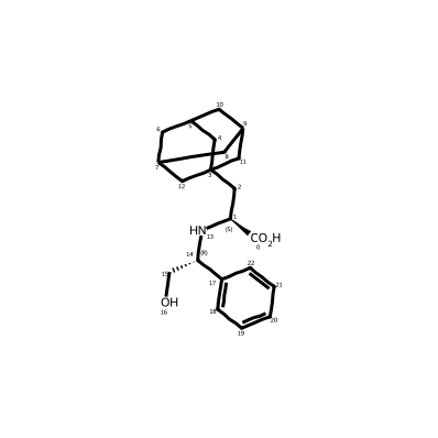 O=C(O)[C@H](CC12CC3CC(CC(C3)C1)C2)N[C@@H](CO)c1ccccc1